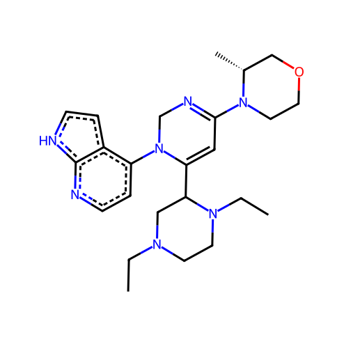 CCN1CCN(CC)C(C2=CC(N3CCOC[C@H]3C)=NCN2c2ccnc3[nH]ccc23)C1